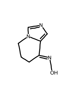 ON=C1CCCn2cncc21